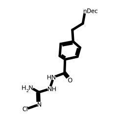 CCCCCCCCCCCCc1ccc(C(=O)NN/C(N)=N/Cl)cc1